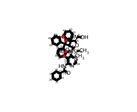 COO[C@]1(OC)[C@@H](CO)O[C@](n2cnc3c(NC(=O)c4ccccc4)ncnc32)([SiH](C)C)[C@@]1(OC(C)(C)C)C(c1ccccc1)(c1ccccc1)c1ccccc1